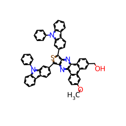 COc1ccc2c(c1)c1cc(CO)ccc1c1nc3c(-c4ccc5c6ccccc6n(-c6ccccc6)c5c4)sc(-c4ccc5c6ccccc6n(-c6ccccc6)c5c4)c3nc21